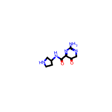 NC1=NCC(=O)C(C(=O)NC2CCNC2)=N1